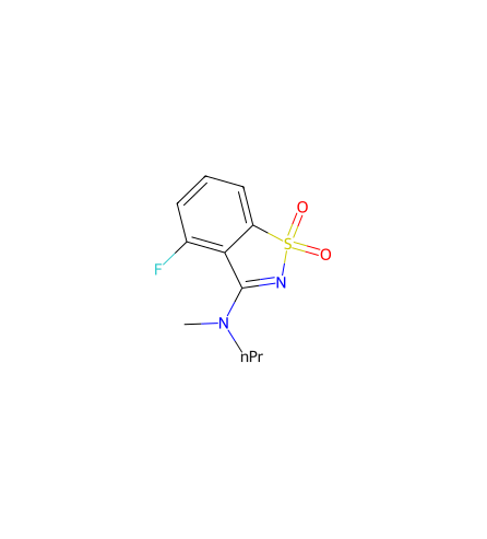 CCCN(C)C1=NS(=O)(=O)c2cccc(F)c21